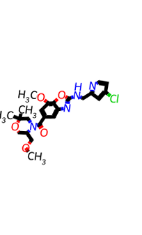 COCC1COC(C)(C)CN1C(=O)c1cc(OC)c2oc(NCc3cc(Cl)ccn3)nc2c1